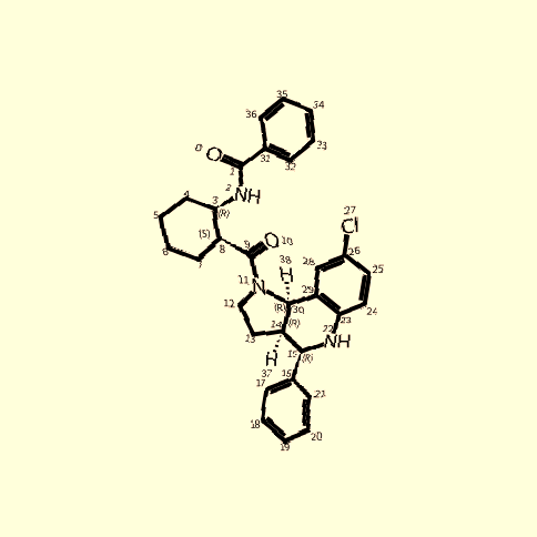 O=C(N[C@@H]1CCCC[C@@H]1C(=O)N1CC[C@@H]2[C@H](c3ccccc3)Nc3ccc(Cl)cc3[C@@H]21)c1ccccc1